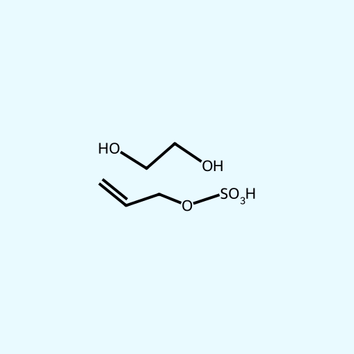 C=CCOS(=O)(=O)O.OCCO